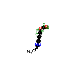 C=CCCc1cnc(-c2ccc(-c3ccc(-c4cc(F)c(C(F)(F)Oc5ccc(OC(F)(F)F)c(F)c5)c(F)c4)c(F)c3)cc2)nc1